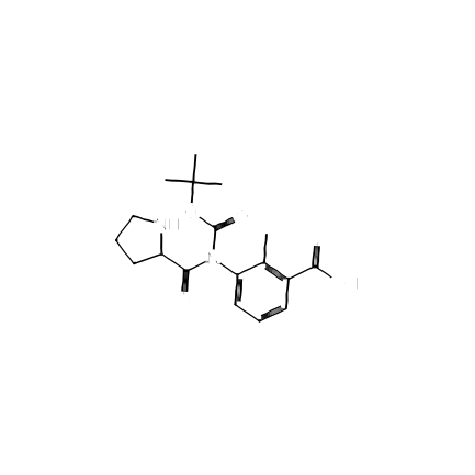 Cc1c(C(=O)O)cccc1N(C(=O)OC(C)(C)C)C(=O)C1CCCN1